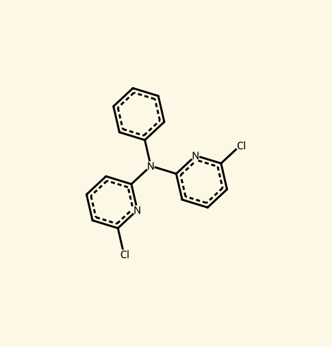 Clc1cccc(N(c2ccccc2)c2cccc(Cl)n2)n1